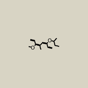 C=C/C(=C\C(C)=C(/C=C)OC)OC(C)CC